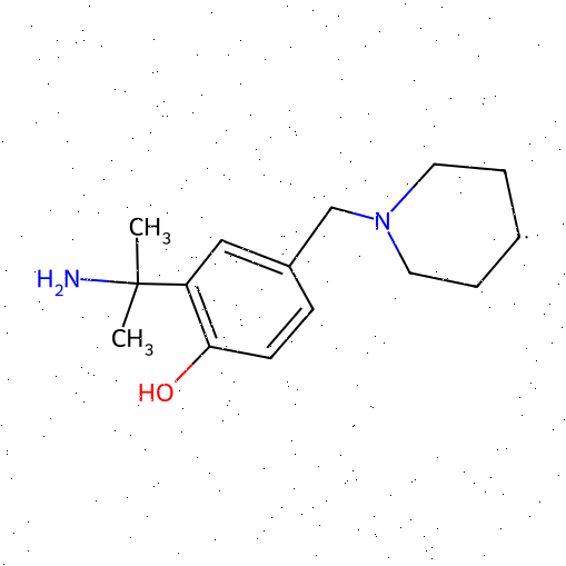 CC(C)(N)c1cc(CN2CC[CH]CC2)ccc1O